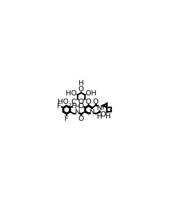 O=C(NCc1c(F)cc(F)cc1F)c1cn2c(c(O[C@@H]3O[C@H](C(=O)O)[C@@H](O)[C@H](O)[C@H]3O)c1=O)C(=O)N1[C@@H](C2)O[C@@H]2CCC23C[C@@H]13